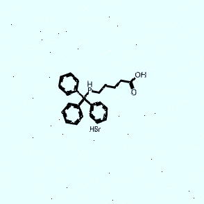 Br.O=C(O)CCCCPC(c1ccccc1)(c1ccccc1)c1ccccc1